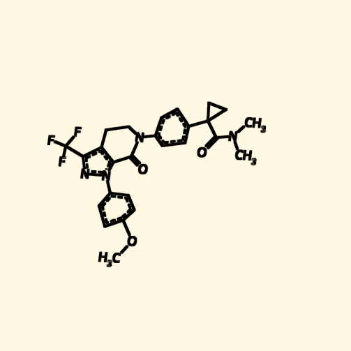 COc1ccc(-n2nc(C(F)(F)F)c3c2C(=O)N(c2ccc(C4(C(=O)N(C)C)CC4)cc2)CC3)cc1